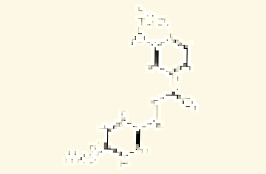 CCCCCCCCOc1cccc(C(=O)/C=C/c2ccc(SC)cc2)c1